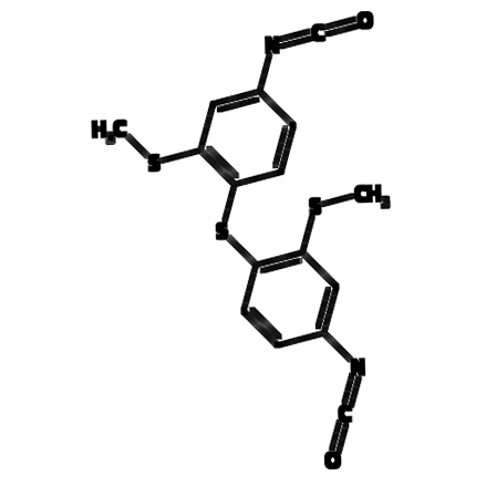 CSc1cc(N=C=O)ccc1Sc1ccc(N=C=O)cc1SC